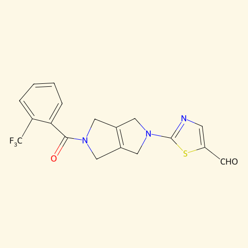 O=Cc1cnc(N2CC3=C(CN(C(=O)c4ccccc4C(F)(F)F)C3)C2)s1